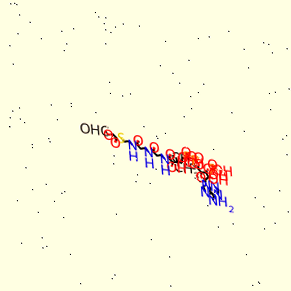 CC(C)(COP(=O)(O)OP(=O)(O)OCC1OC(n2cnc3c(N)ncnc32)C(O)C1OP(=O)(O)O)C(O)C(=O)NCCC(=O)NCCC(=O)NCCSC(=O)COC=O